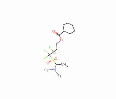 CCN(CC)C(C)S(=O)(=O)C(F)(F)C(F)(F)CCOC(=O)C1CCCCC1